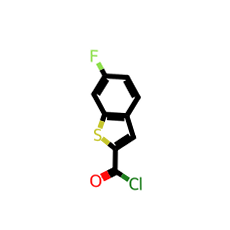 O=C(Cl)c1cc2ccc(F)cc2s1